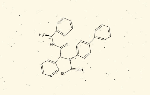 C=C(CC)N(c1ccc(-c2ccccc2)cc1)C(C(=O)N[C@@H](C)c1ccccc1)c1cccnc1